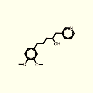 COc1ccc(CCCC(O)Cc2cccnc2)cc1OC